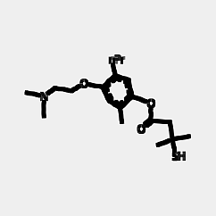 CCCc1cc(OC(=O)CC(C)(C)S)c(C)cc1OCCN(C)C